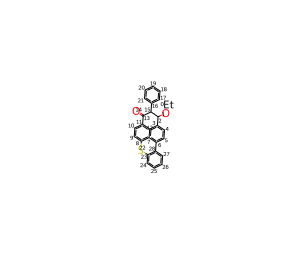 CCOC1c2ccc3c4c(ccc(c24)C(=O)C1c1ccccc1)Sc1ccccc1-3